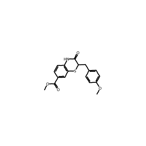 COC(=O)c1ccc2c(c1)SC(Cc1ccc(OC)cc1)C(=O)N2